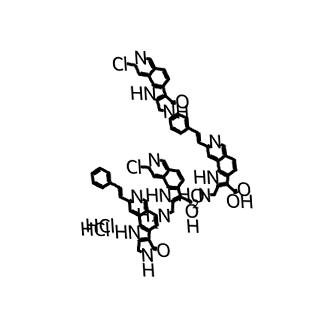 Cl.Cl.NCc1[nH]c2c(ccc3cnc(C=Cc4ccccc4)cc32)c1C(=O)O.NCc1[nH]c2c(ccc3cnc(Cl)cc32)c1C(=O)O.O=C1NCc2[nH]c3c(ccc4cnc(C=Cc5ccccc5)cc43)c21.O=C1NCc2[nH]c3c(ccc4cnc(Cl)cc43)c21